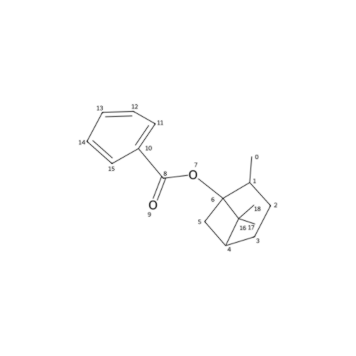 CC1CCC2CC1(OC(=O)c1ccccc1)C2(C)C